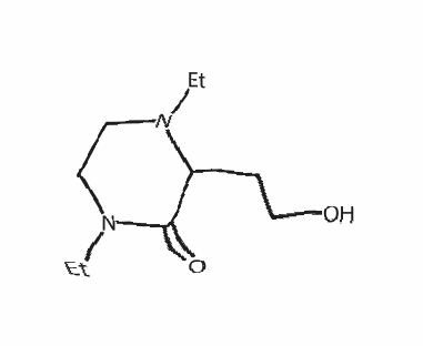 CCN1CCN(CC)C(CCO)C1=O